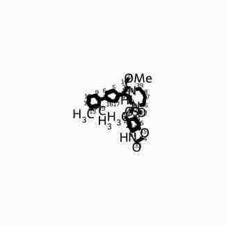 COC[C@@H]1C(c2ccc(-c3cccc(C)c3C)cc2)[C@@H]2CN(S(=O)(=O)c3cc4c(cc3C)NC(=O)CO4)CCCCN12